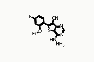 CCOc1cc(F)ccc1-c1sc2c(NN)ncnc2c1C#N